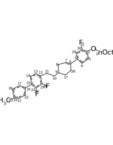 CCCCCCCCOc1ccc(C2=CCC(CCc3ccc(-c4ccc(C)cc4)c(F)c3F)CC2)cc1F